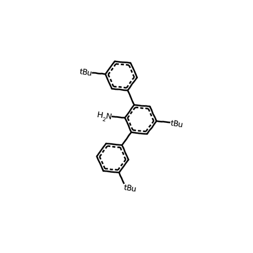 CC(C)(C)c1cccc(-c2cc(C(C)(C)C)cc(-c3cccc(C(C)(C)C)c3)c2N)c1